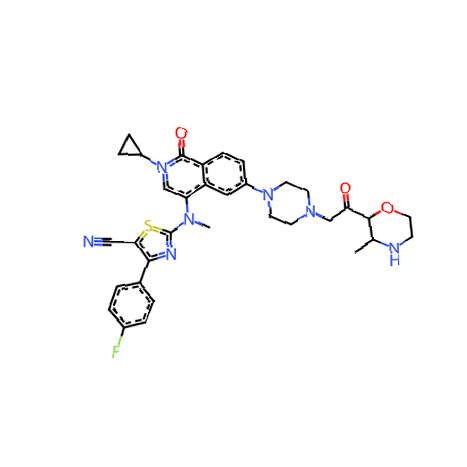 CC1NCCOC1C(=O)CN1CCN(c2ccc3c(=O)n(C4CC4)cc(N(C)c4nc(-c5ccc(F)cc5)c(C#N)s4)c3c2)CC1